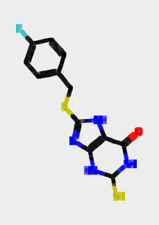 O=C1NC(S)Nc2nc(SCc3ccc(F)cc3)[nH]c21